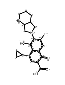 O=C(O)c1cn(C2CC2)c2c(O)c(N3CC4CCCNC4C3)c(F)cc2c1=O